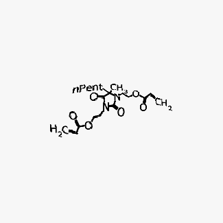 C=CC(=O)OCCN1C(=O)N(CCOC(=O)C=C)C(C)(CCCCC)C1=O